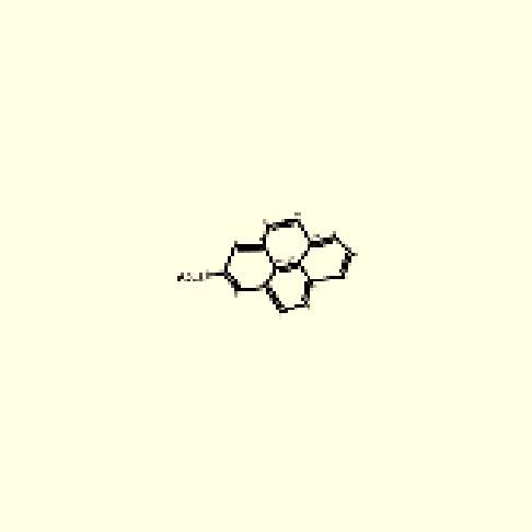 CCCCCCCCc1[c]c2ccc3cccc4ccc(c1)c2c34